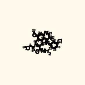 COC[C@H](C)N(Cc1cc2c(Nc3cccc(Cl)c3F)ncnc2cc1OC)[C@@H](C)C(N)=O